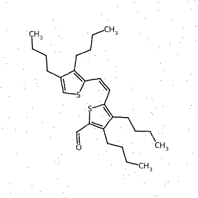 CCCCc1csc(/C=C\c2sc(C=O)c(CCCC)c2CCCC)c1CCCC